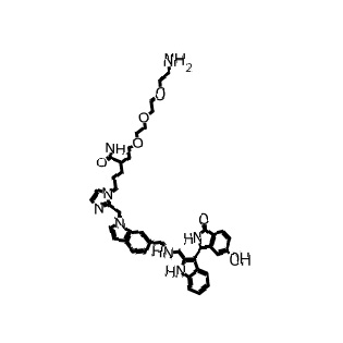 NCCOCCOCCOCCC(CCCn1ccnc1Cn1ccc2ccc(CNCc3[nH]c4ccccc4c3C3NC(=O)c4ccc(O)cc43)cc21)C(N)=O